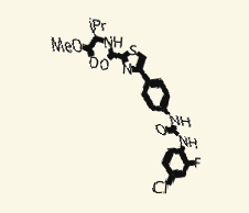 COC(=O)[C@@H](NC(=O)c1nc(-c2ccc(NC(=O)Nc3ccc(Cl)cc3F)cc2)cs1)C(C)C